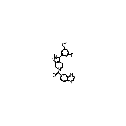 COc1cc(F)cc(-c2c3c(nn2C)CN(C(=O)c2ccc4nccnc4c2)CC3)c1